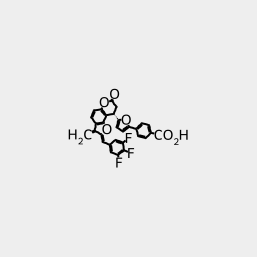 C=c1/c(=C/c2cc(F)c(F)c(F)c2)oc2c3c(ccc12)OC(=O)C[C@@H]3c1ccc(-c2ccc(C(=O)O)cc2)o1